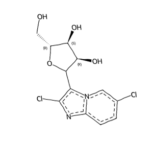 OC[C@H]1OC(c2c(Cl)nc3ccc(Cl)cn23)[C@H](O)[C@@H]1O